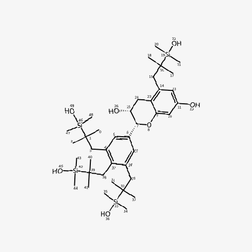 CC(C)(Cc1cc([C@H]2Oc3cc(O)cc(CC(C)(C)[Si](C)(C)O)c3C[C@H]2O)cc(CC(C)(C)[Si](C)(C)O)c1CC(C)(C)[Si](C)(C)O)[Si](C)(C)O